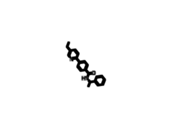 CCc1ccc(-c2ccc(C(=O)NC(C)c3ccccc3)cc2)nc1